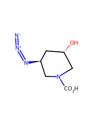 [N-]=[N+]=N[C@H]1C[C@H](O)CN(C(=O)O)C1